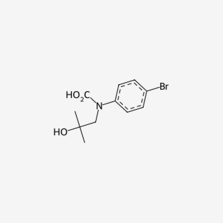 CC(C)(O)CN(C(=O)O)c1ccc(Br)cc1